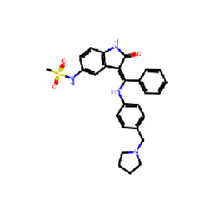 CS(=O)(=O)Nc1ccc2c(c1)C(=C(Nc1ccc(CN3CCCC3)cc1)c1ccccc1)C(=O)N2